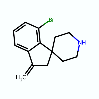 C=C1CC2(CCNCC2)c2c(Br)cccc21